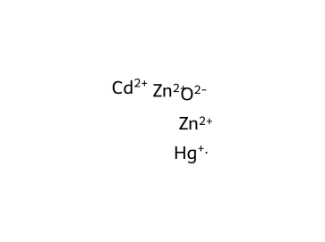 [Cd+2].[Hg+].[O-2].[Zn+2].[Zn+2]